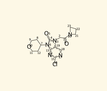 O=C(Cn1c(=O)n(C2CCOCC2)c2nc(Cl)ncc21)N1CCC1